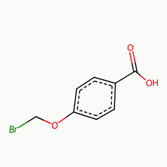 O=C(O)c1ccc(OCBr)cc1